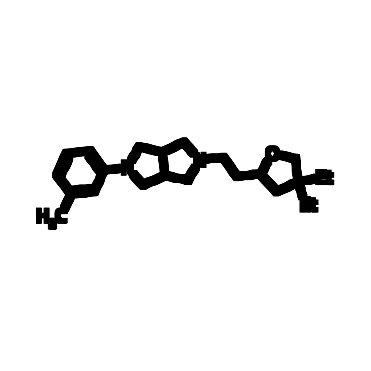 CCC1(CC)COC(CCN2CC3CN(c4cccc(C)c4)CC3C2)C1